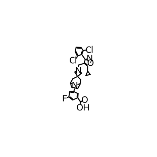 O=C(O)c1cc(F)cc(N2C3CCC2CC2(C3)CN(Cc3c(-c4c(Cl)cccc4Cl)noc3C3CC3)C2)c1